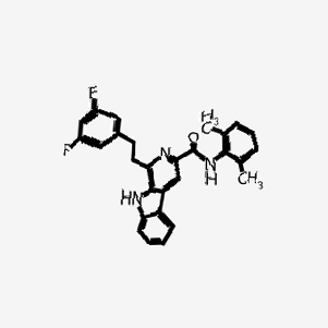 Cc1cccc(C)c1NC(=O)c1cc2c([nH]c3ccccc32)c(CCc2cc(F)cc(F)c2)n1